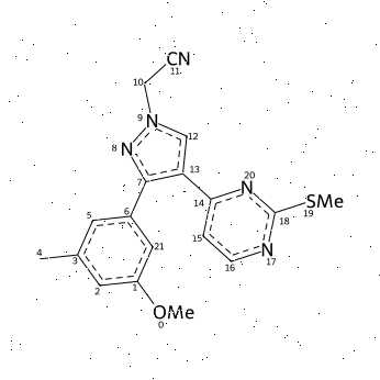 COc1cc(C)cc(-c2nn(CC#N)cc2-c2ccnc(SC)n2)c1